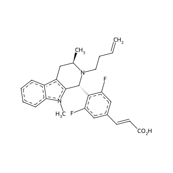 C=CCCN1[C@H](c2c(F)cc(/C=C/C(=O)O)cc2F)c2c(c3ccccc3n2C)C[C@H]1C